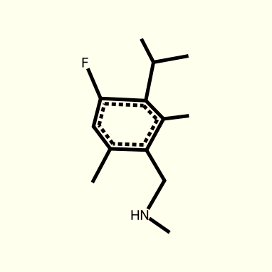 CNCc1c(C)cc(F)c(C(C)C)c1C